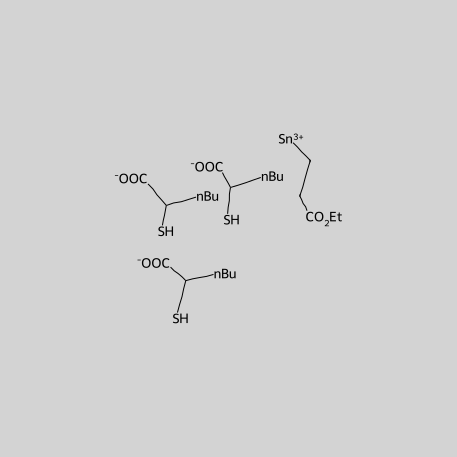 CCCCC(S)C(=O)[O-].CCCCC(S)C(=O)[O-].CCCCC(S)C(=O)[O-].CCOC(=O)C[CH2][Sn+3]